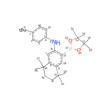 CC(C)(C)c1ccc(Nc2cc3c(cc2B2OC(C)(C)C(C)(C)O2)C(C)(C)CCC3(C)C)cc1